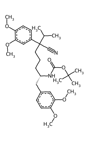 COc1ccc(C[C@H](CCCC(C#N)(c2ccc(OC)c(OC)c2)C(C)C)NC(=O)OC(C)(C)C)cc1OC